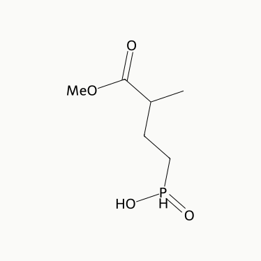 COC(=O)C(C)CC[PH](=O)O